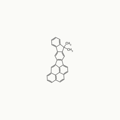 CC1(C)c2ccccc2-c2cc3c(cc21)-c1ccc2ccc4cccc5cc-3c1c2c45